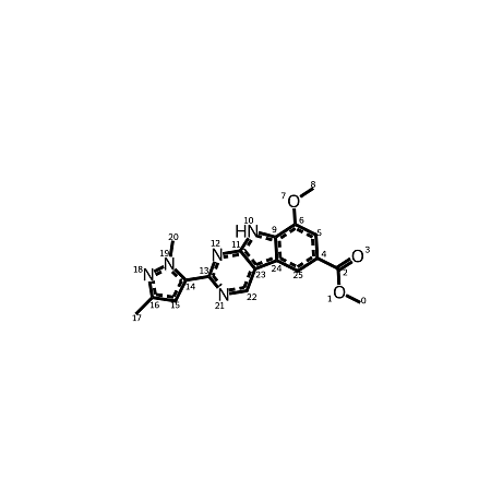 COC(=O)c1cc(OC)c2[nH]c3nc(-c4cc(C)nn4C)ncc3c2c1